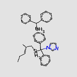 BC(c1ccccc1)c1ccccc1.CCC=C(C)C[SiH2]C(c1ccccc1)(c1ccccc1)n1ccnc1